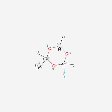 B[Si]1(C)O[SiH](C)O[Si](C)(F)O1